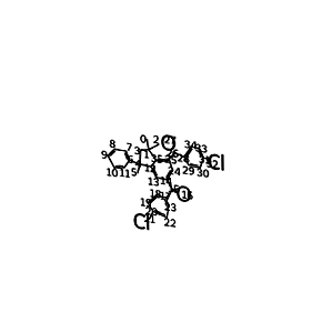 CC1(C)CC(C)(c2ccccc2)c2cc(C(=O)c3ccc(Cl)cc3)cc(C(=O)c3ccc(Cl)cc3)c21